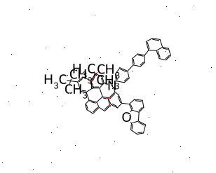 CC(C)(C)c1cc(-c2cccc3cccc(-c4ccccc4N(c4ccc(-c5ccc(-c6cccc7ccccc67)cc5)cc4)c4cccc(-c5cccc6c5oc5ccccc56)c4)c23)cc(C(C)(C)C)c1